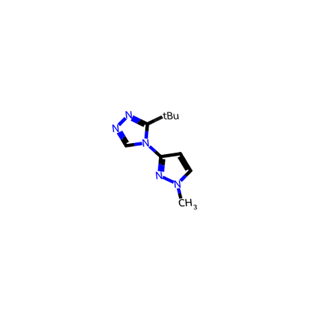 Cn1ccc(-n2cnnc2C(C)(C)C)n1